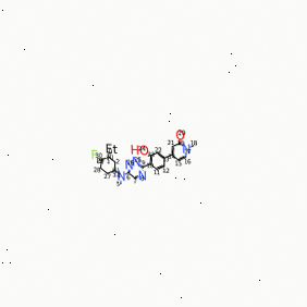 CC[C@@H]1C[C@@H](N(C)c2cnc(-c3ccc(-c4ccn(C)c(=O)c4)cc3O)nn2)CC[C@@H]1F